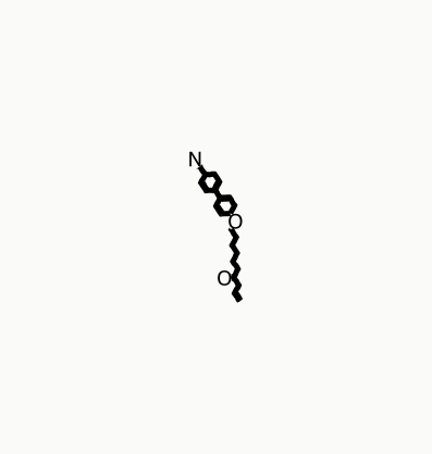 C=CCC(=O)CCCCCCOC1C=CC(C2=CCC(C#N)C=C2)=CC1